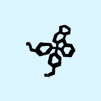 CC(C)(C)Cc1ccc(S2(c3ccc(CC(C)(C)C)cc3)c3ccccc3-c3c2ccc2ccccc32)cc1